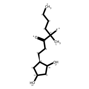 CCCCC(C)(F)C(=O)CC[C@@H]1CC(O)CC1O